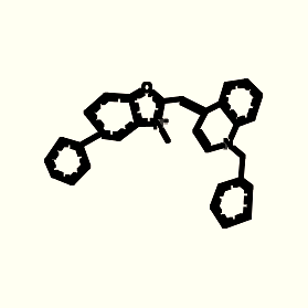 C[n+]1c(C=C2C=CN(Cc3ccccc3)c3ccccc32)oc2ccc(-c3ccccc3)cc21